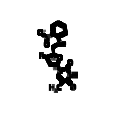 Cc1cn([C@H]2CC(F)[C@@H](C[Se]c3ccccc3[N+](=O)[O-])O2)c(=O)[nH]c1=O